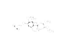 COc1cc2c(cc1OCCS(C)(=O)=O)CCN1C[C@@H](OC(C)(C)C)[C@H](O)C[C@H]21